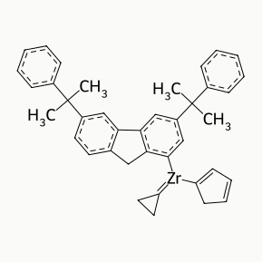 CC(C)(c1ccccc1)c1ccc2c(c1)-c1cc(C(C)(C)c3ccccc3)c[c]([Zr]([C]3=CC=CC3)=[C]3CC3)c1C2